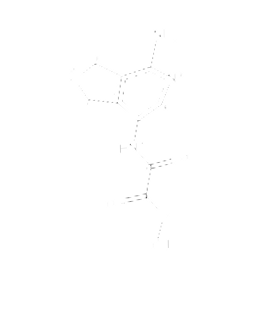 COC(=O)C(=O)Nc1cnc(N)c2c1COC2